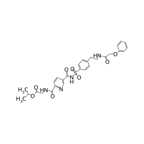 CC(C)OC(=O)CNC(=O)c1ccc(C(=O)NS(=O)(=O)c2ccc(CCNC(=O)COc3ccccc3)cc2)cn1